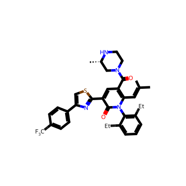 CCc1cccc(CC)c1-n1c(C=C(C)C)c(C(=O)N2CCN[C@@H](C)C2)cc(-c2nc(-c3ccc(C(F)(F)F)cc3)cs2)c1=O